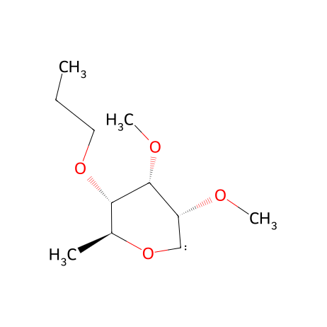 CCCO[C@@H]1[C@H](OC)[C@H](OC)[C]O[C@H]1C